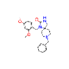 COc1ccc(CN2C(=O)NCC23CCN(Cc2ccccc2)CC3)c(OC)c1